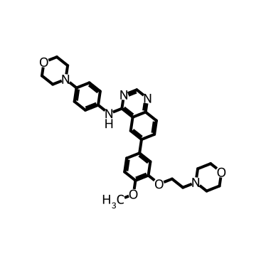 COc1ccc(-c2ccc3ncnc(Nc4ccc(N5CCOCC5)cc4)c3c2)cc1OCCN1CCOCC1